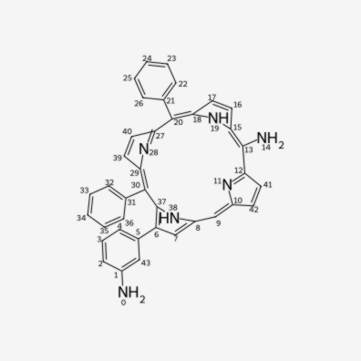 Nc1cccc(-c2cc3cc4nc(c(N)c5ccc([nH]5)c(-c5ccccc5)c5nc(c(-c6ccccc6)c2[nH]3)C=C5)C=C4)c1